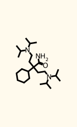 CC(C)N(CCC(CCN(C(C)C)C(C)C)(C(N)=O)C1CCCCC1)C(C)C